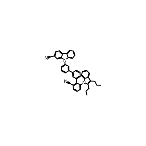 CCCc1c(CCC)n(-c2cccc(C#N)c2-c2cccc(-c3cccc(-n4c5ccccc5c5ccc(C#N)cc54)c3)c2)c2ccccc12